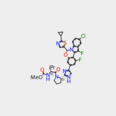 COC(=O)N[C@H](C(=O)N1CCC[C@H]1c1nc(-c2cc(F)c3c(c2)OC(c2cnc(C4CC4)s2)n2c-3c(F)c3cc(Cl)ccc32)c[nH]1)C(C)C